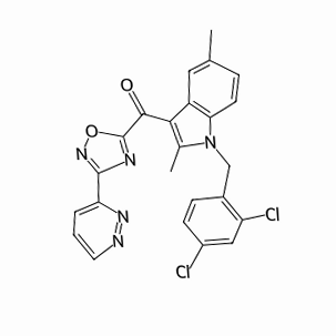 Cc1ccc2c(c1)c(C(=O)c1nc(-c3cccnn3)no1)c(C)n2Cc1ccc(Cl)cc1Cl